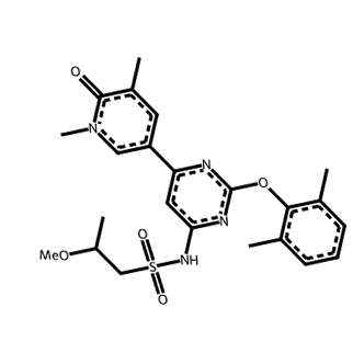 COC(C)CS(=O)(=O)Nc1cc(-c2cc(C)c(=O)n(C)c2)nc(Oc2c(C)cccc2C)n1